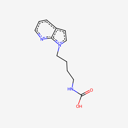 O=C(O)NCCCCn1ccc2cccnc21